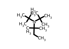 CCC(C)(C)N(C(C)(C)C)C(C)(C)C